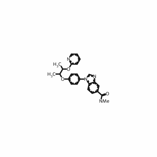 CNC(=O)c1ccc2c(c1)ncn2-c1ccc(OC(C)C(C)Oc2ccccn2)cc1